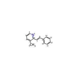 Cc1cccnc1C=Cc1ccccc1